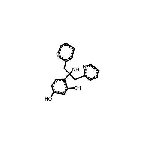 NC(Cc1ccccn1)(Cc1ccccn1)c1ccc(O)cc1O